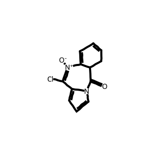 O=C1C2CC=CC=C2[N+]([O-])=C(Cl)c2cccn21